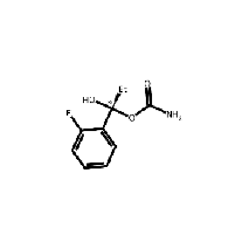 CC[C@@](O)(OC(N)=O)c1ccccc1F